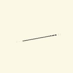 CCCCCCCCCCCCCCCCCCCCCCCCCCCCCCCCCCCCCCCCCCCCOCCOCCO